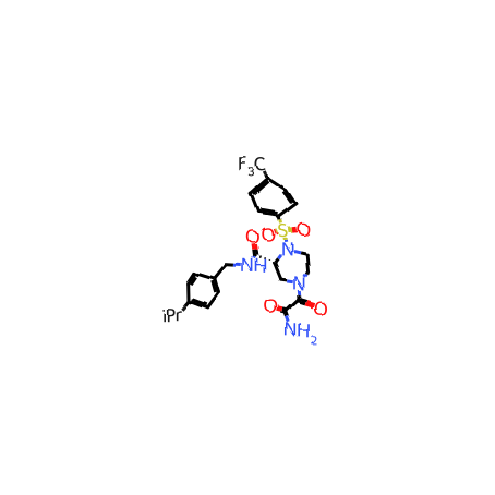 CC(C)c1ccc(CNC(=O)[C@H]2CN(C(=O)C(N)=O)CCN2S(=O)(=O)c2ccc(C(F)(F)F)cc2)cc1